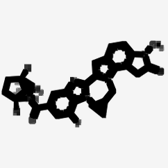 CN1C(=O)Cc2c1ccc1cc(-c3nc4cc(C(=O)N5C[C@H]6CC[C@@H]5[C@@H]6N)cc(F)c4n3C)n(CC3CC3)c21